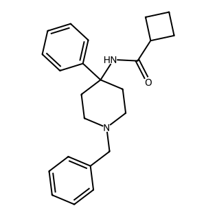 O=C(NC1(c2ccccc2)CCN(Cc2ccccc2)CC1)C1CCC1